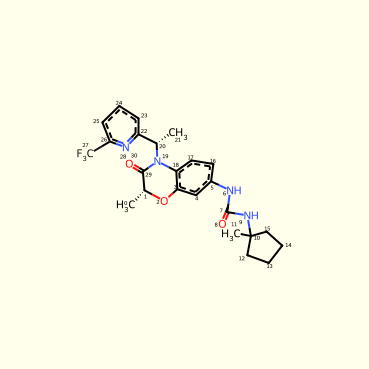 C[C@H]1Oc2cc(NC(=O)NC3(C)CCCC3)ccc2N([C@@H](C)c2cccc(C(F)(F)F)n2)C1=O